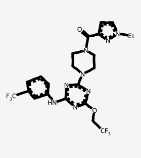 CCn1ccc(C(=O)N2CCN(c3nc(Nc4cccc(C(F)(F)F)c4)nc(OCC(F)(F)F)n3)CC2)n1